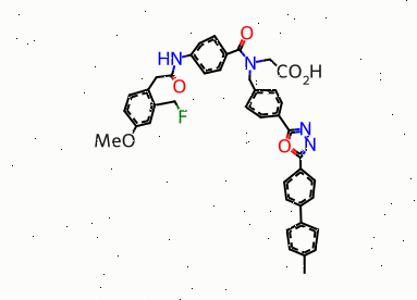 COc1ccc(CC(=O)Nc2ccc(C(=O)N(CC(=O)O)Cc3ccc(-c4nnc(-c5ccc(-c6ccc(C)cc6)cc5)o4)cc3)cc2)c(CF)c1